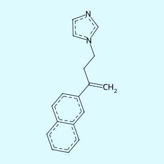 C=C(CCn1ccnc1)c1ccc2ccccc2c1